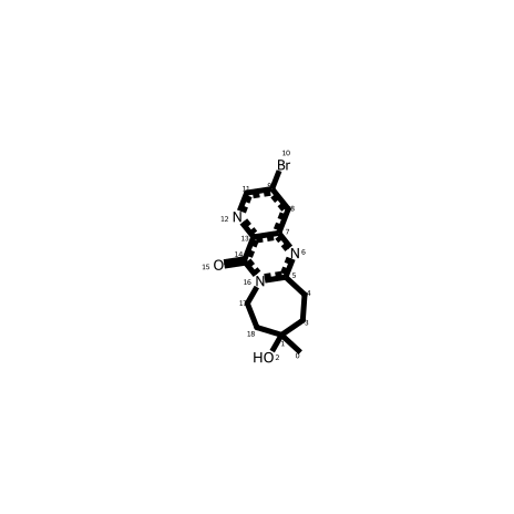 CC1(O)CCc2nc3cc(Br)cnc3c(=O)n2CC1